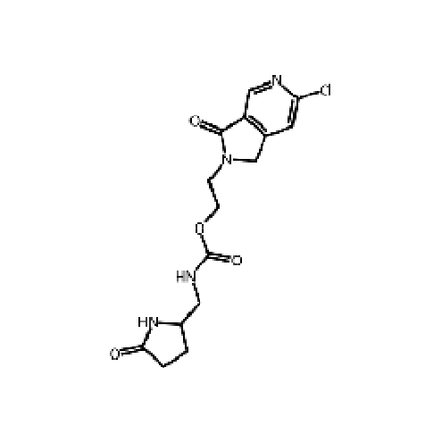 O=C1CCC(CNC(=O)OCCN2Cc3cc(Cl)ncc3C2=O)N1